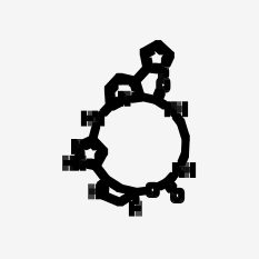 O=C1NCCCNC(=O)c2nc(ccc2-c2cccs2)Nc2cc([nH]n2)[C@H]2CC[C@H](C2)O1